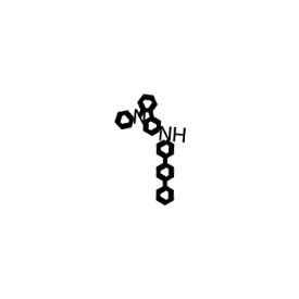 c1ccc(-c2ccc(-c3ccc(Nc4ccc5c(c4)c4ccccc4n5-c4ccccc4)cc3)cc2)cc1